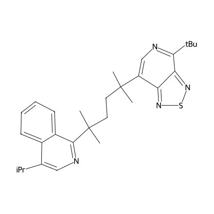 CC(C)c1cnc(C(C)(C)CCC(C)(C)c2cnc(C(C)(C)C)c3nsnc23)c2ccccc12